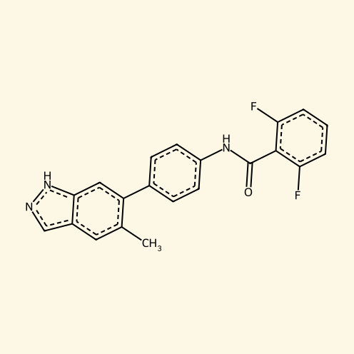 Cc1cc2cn[nH]c2cc1-c1ccc(NC(=O)c2c(F)cccc2F)cc1